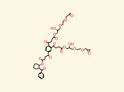 O=C(CCC(=O)c1ccc(C(=O)CCC(=O)OC2CCCCC2C(=O)c2ccccc2)cc1C(=O)CCC(=O)OCC(O)COCCOCC1CO1)OCC(O)COCCOCC1CO1